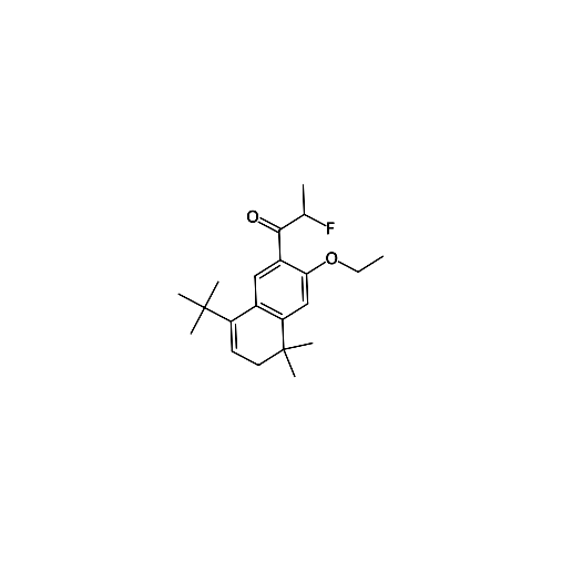 CCOc1cc2c(cc1C(=O)C(C)F)C(C(C)(C)C)=CCC2(C)C